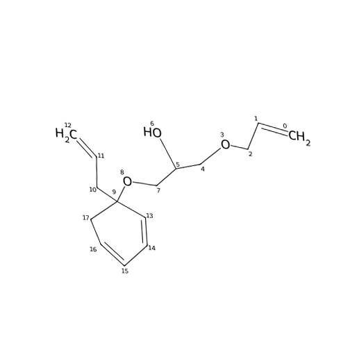 C=CCOCC(O)COC1(CC=C)C=CC=CC1